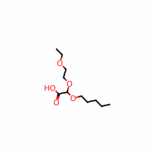 CCCCCOC(OCCOCC)C(=O)O